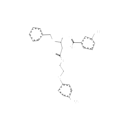 COc1ccc(NCCNC(=O)[C@@H](NC(=O)c2cccc(C)c2)C(C)OCc2ccccc2)cc1